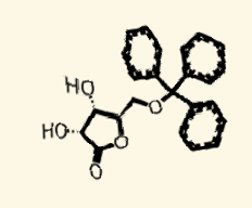 O=C1O[C@H](COC(c2ccccc2)(c2ccccc2)c2ccccc2)[C@@H](O)[C@H]1O